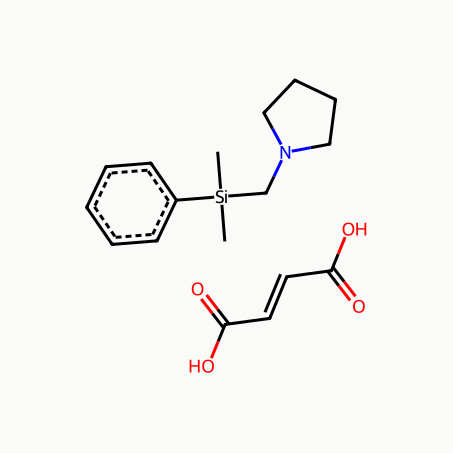 C[Si](C)(CN1CCCC1)c1ccccc1.O=C(O)C=CC(=O)O